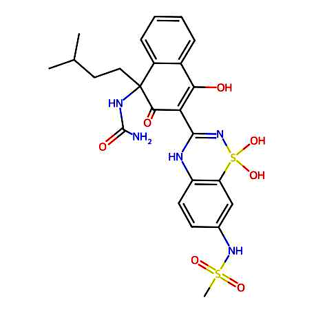 CC(C)CCC1(NC(N)=O)C(=O)C(C2=NS(O)(O)c3cc(NS(C)(=O)=O)ccc3N2)=C(O)c2ccccc21